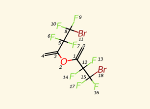 C=C(OC(=C)C(F)(F)C(F)(F)Br)C(F)(F)C(F)(F)Br